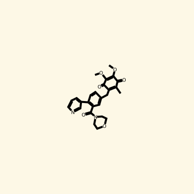 COC1=C(OC)C(=O)C(Cc2ccc(-c3cccnc3)c(C(=O)N3CCOCC3)c2)=C(C)C1=O